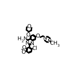 CN1CCN(CCOc2cc(OC3CCOCC3)c3c(N)nc(-c4c(Cl)ccc5c4OCO5)nc3c2)CC1